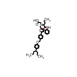 C=CCC(c1nc2ccccc2[nH]1)N(CC(=O)O)Cc1ccc(-c2ccc(COc3ccc(C(CCC)CCC)cc3)cc2)s1